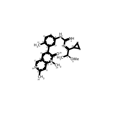 CO[C@@H](C)/C(=N/C(=N)Nc1ccc(C)c(-c2cc3cnc(C)cc3n(C)c2=O)c1)C1CC1